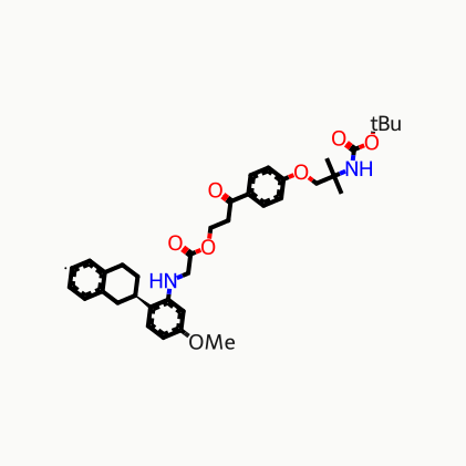 COc1ccc([C@@H]2CCc3c[c]ccc3C2)c(NCC(=O)OCCC(=O)c2ccc(OCC(C)(C)NC(=O)OC(C)(C)C)cc2)c1